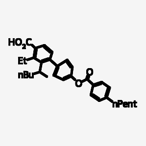 CCCCCc1ccc(C(=O)Oc2ccc(-c3ccc(C(=O)O)c(CC)c3C(C)CCCC)cc2)cc1